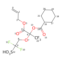 C=CCOC(=O)C(OCC(F)(F)S(=O)(=O)O)(OC(=O)C1CCCCC1)C(F)(F)F